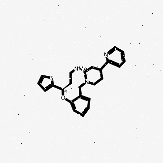 CNCC[C@@H](Oc1ccccc1CN1CCC(c2ccccn2)CC1)c1cccs1